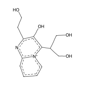 OCCc1nc2cccc[n+]2c(C(CO)CO)c1O